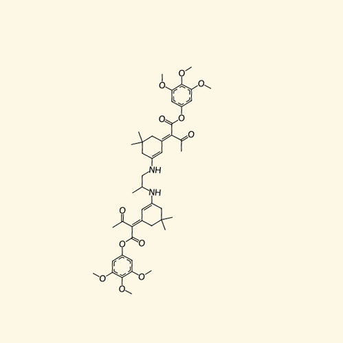 COc1cc(OC(=O)/C(C(C)=O)=C2/C=C(NCC(C)NC3=C/C(=C(\C(C)=O)C(=O)Oc4cc(OC)c(OC)c(OC)c4)CC(C)(C)C3)CC(C)(C)C2)cc(OC)c1OC